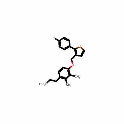 CCc1ccc(-c2sccc2COc2ccc(CCC(=O)O)c(C)c2C)cc1